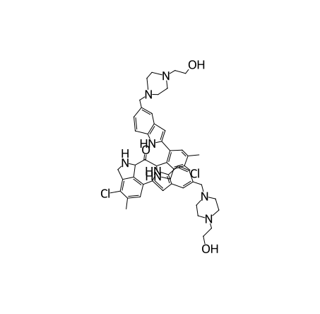 Cc1cc(-c2cc3cc(CN4CCN(CCO)CC4)ccc3[nH]2)c2c(c1Cl)CNC2C(=O)C1NCc2c(Cl)c(C)cc(-c3cc4cc(CN5CCN(CCO)CC5)ccc4[nH]3)c21